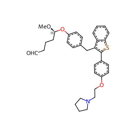 CO[C@H](CCCC=O)Oc1ccc(Cc2c(-c3ccc(OCCN4CCCC4)cc3)sc3ccccc23)cc1